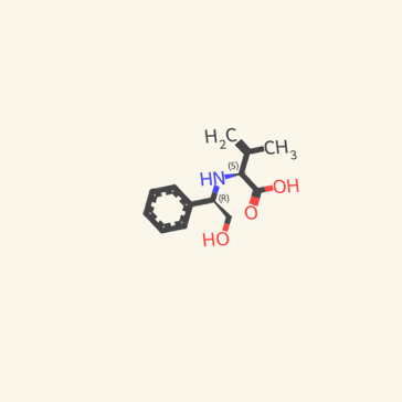 C=C(C)[C@H](N[C@@H](CO)c1ccccc1)C(=O)O